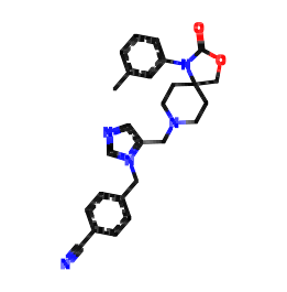 Cc1cccc(N2C(=O)OCC23CCN(Cc2cncn2Cc2ccc(C#N)cc2)CC3)c1